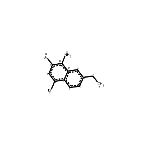 CCc1ccc2c(Br)cc(Br)c(N)c2c1